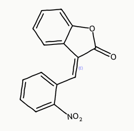 O=C1Oc2ccccc2/C1=C\c1ccccc1[N+](=O)[O-]